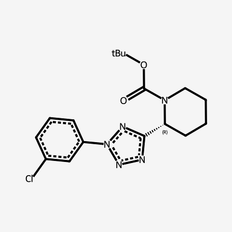 CC(C)(C)OC(=O)N1CCCC[C@@H]1c1nnn(-c2cccc(Cl)c2)n1